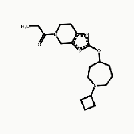 CCC(=O)N1CCc2nc(OC3CCCN(C4CCC4)CC3)sc2C1